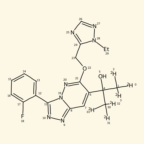 [2H]C([2H])([2H])C(O)(c1cc2nnc(-c3ccccc3F)n2nc1OCc1ncnn1CC)C([2H])([2H])[2H]